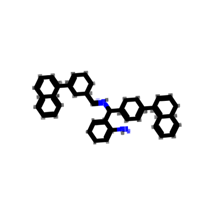 NC1=CCCC=C1C(/N=C/C1CCC=C(c2cccc3ccccc23)C1)C1=CC=C(C2=C3C=CC=CC3CC=C2)CC1